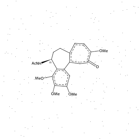 COc1cc2c(c(OC)c1OC)[C@@H](NC(C)=O)CCc1ccc(OC)c(=O)cc1-2